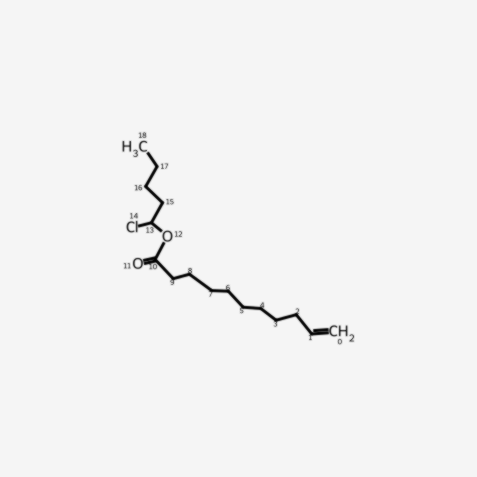 C=CCCCCCCCCC(=O)OC(Cl)CCCC